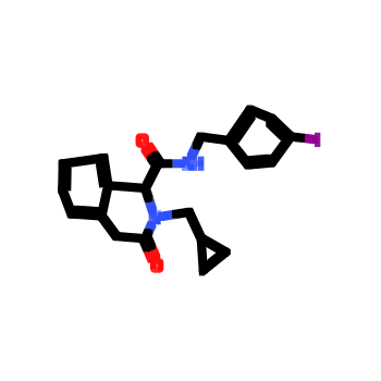 O=C(NCc1ccc(I)cc1)C1c2ccccc2CC(=O)N1CC1CC1